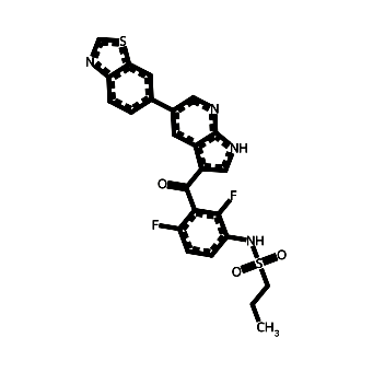 CCCS(=O)(=O)Nc1ccc(F)c(C(=O)c2c[nH]c3ncc(-c4ccc5ncsc5c4)cc23)c1F